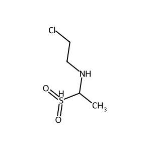 CC(NCCCl)[SH](=O)=O